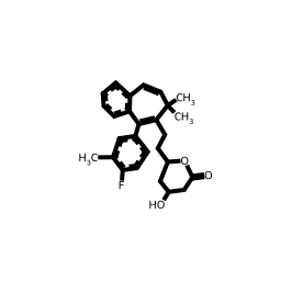 Cc1cc(C2=C(CCC3CC(O)CC(=O)O3)C(C)(C)C=Cc3ccccc32)ccc1F